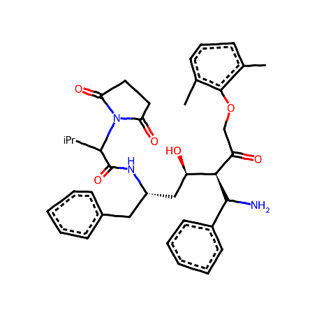 Cc1cccc(C)c1OCC(=O)[C@@H](C(N)c1ccccc1)[C@H](O)C[C@H](Cc1ccccc1)NC(=O)C(C(C)C)N1C(=O)CCC1=O